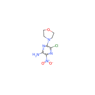 Nc1nc(N2CCOCC2)c(Cl)nc1[N+](=O)[O-]